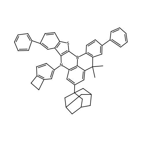 CC1(C)c2cc(-c3ccccc3)ccc2B2c3sc4ccc(-c5ccccc5)cc4c3N(c3ccc4c(c3)CC4)c3cc(C45CC6CC(CC(C6)C4)C5)cc1c32